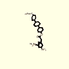 CCCCCC1CCC(C2CCC(C3CCC(OC(=O)Cc4cc(N)cc(N)c4)CC3)CC2)CC1